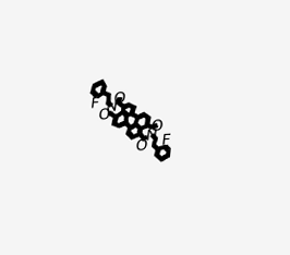 O=C1c2ccc3c4ccc5c6c(ccc(c7ccc(c2c37)C(=O)N1CCc1ccccc1F)c64)C(=O)N(CCc1ccccc1F)C5=O